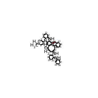 C=C/C=C\C(=C/C)Nc1ccccc1Nc1ccc2c(c1)C1(C/C=C(Nc3ccccc3Nc3ccccc3)\C=C/C2=C)c2ccccc2-c2ccccc21